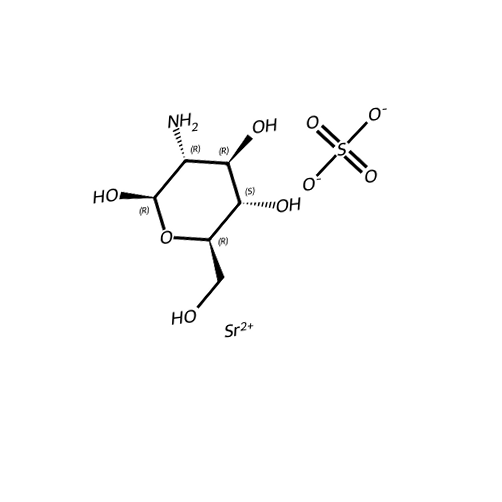 N[C@@H]1[C@@H](O)[C@H](O)[C@@H](CO)O[C@H]1O.O=S(=O)([O-])[O-].[Sr+2]